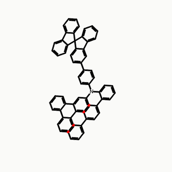 c1ccc(-c2ccc(-c3ccccc3N(c3ccc(-c4ccc5c(c4)-c4ccccc4C54c5ccccc5-c5ccccc54)cc3)c3ccc4c5ccccc5c5ccccc5c4c3)cc2)cc1